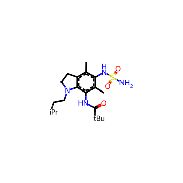 Cc1c2c(c(NC(=O)C(C)(C)C)c(C)c1NS(N)(=O)=O)N(CCC(C)C)CC2